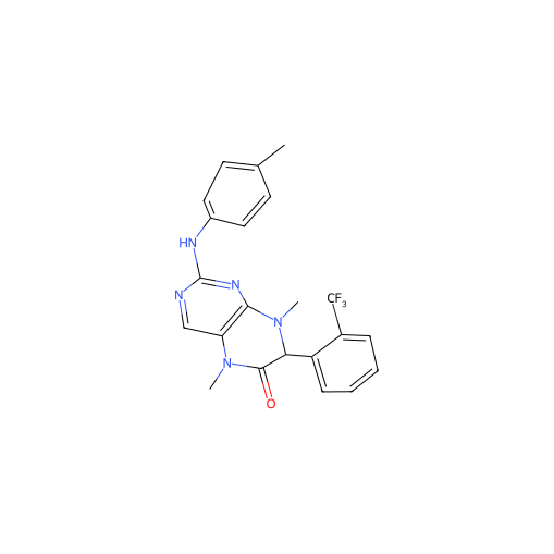 Cc1ccc(Nc2ncc3c(n2)N(C)C(c2ccccc2C(F)(F)F)C(=O)N3C)cc1